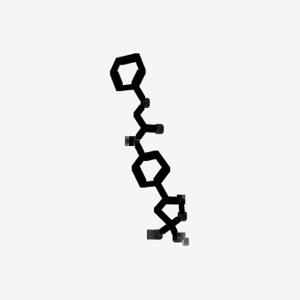 O=C(COc1ccccc1)Nc1ccc(C2=NOC(O)(C(F)(F)F)C2)cc1